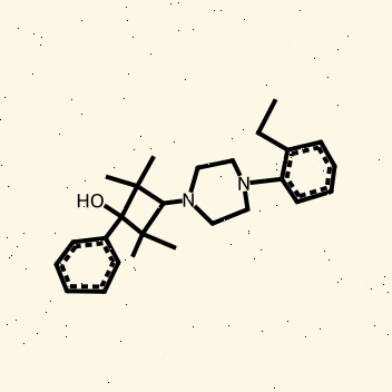 CCc1ccccc1N1CCN(C2C(C)(C)C(O)(c3ccccc3)C2(C)C)CC1